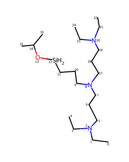 CCN(CC)CCCN(CCC[SiH2]OC(C)C)CCCN(CC)CC